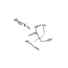 CC(CO)(CO)C(=O)O.N=C=O.N=C=O